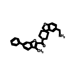 Cc1c(C(=O)N2CCC3(CC2)COc2ccc(CN)cc23)oc2cc(-c3ccccc3)ccc12